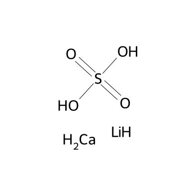 O=S(=O)(O)O.[CaH2].[LiH]